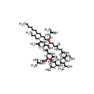 CCCCCCCCCCCCCCCC(=O)NCC(=O)N[C@@H](CO)C(=O)N[C@H](C(=O)N[C@@H](CC(=O)O)C(=O)N[C@@H](CCCNC(=N)N)C(=O)N[C@@H](CC(C)C)C(=O)N[C@@H](CCCNC(=N)N)C(=O)N[C@@H](CCCCN)C(N)=O)[C@@H](C)O